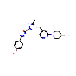 Cc1nc(-c2nc(C3C=CC(OC(F)(F)F)=CC3)no2)nn1Cc1ccnc(N2CCC(C#N)CC2)c1